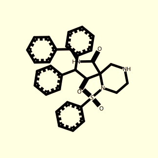 O=C(NCc1ccccc1)C1(C(=O)C(c2ccccc2)c2ccccc2)CNCCN1S(=O)(=O)c1ccccc1